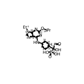 CCn1cnc2c(Nc3ccc(C(O)([PH2]=O)P(=O)(O)O)cc3)nc(OC(C)C)nc21